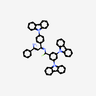 N/C(=C\C(=N/C(F)c1cc(-n2c3ccccc3c3ccccc32)cc(-n2c3ccccc3c3ccccc32)c1)c1ccc(-n2c3ccccc3c3ccccc32)cc1)c1ccccc1